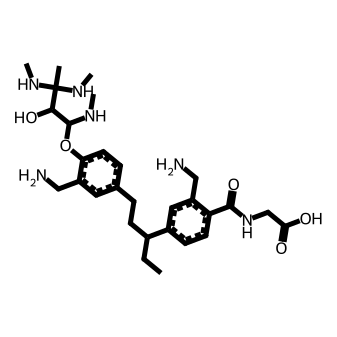 CCC(CCc1ccc(OC(NC)C(O)C(C)(NC)NC)c(CN)c1)c1ccc(C(=O)NCC(=O)O)c(CN)c1